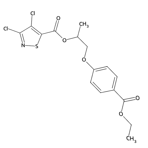 CCOC(=O)c1ccc(OCC(C)OC(=O)c2snc(Cl)c2Cl)cc1